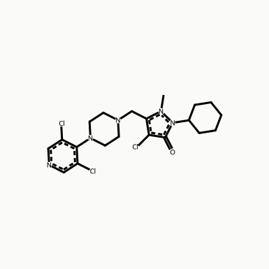 Cn1c(CN2CCN(c3c(Cl)cncc3Cl)CC2)c(Cl)c(=O)n1C1CCCCC1